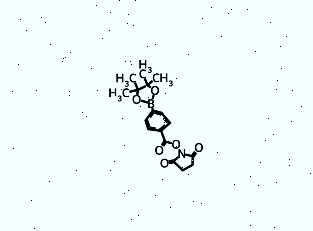 CC1(C)OB(c2ccc(C(=O)ON3C(=O)CCC3=O)cc2)OC1(C)C